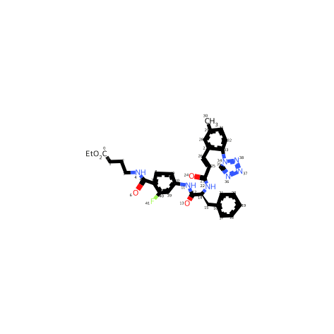 CCOC(=O)CCCNC(=O)c1ccc(NC(=O)[C@H](Cc2ccccc2)NC(=O)/C=C/c2cc(C)ccc2-n2cnnn2)cc1F